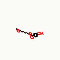 COCCCCCCOC(=O)c1ccc(O)cc1